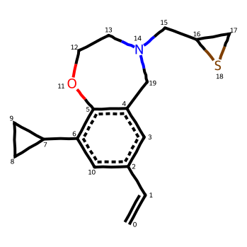 C=Cc1cc2c(c(C3CC3)c1)OCCN(CC1CS1)C2